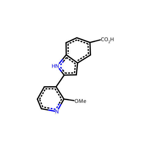 COc1ncccc1-c1cc2cc(C(=O)O)ccc2[nH]1